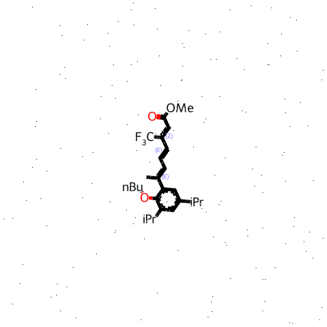 CCCCOc1c(/C(C)=C/C=C/C(=C/C(=O)OC)C(F)(F)F)cc(C(C)C)cc1C(C)C